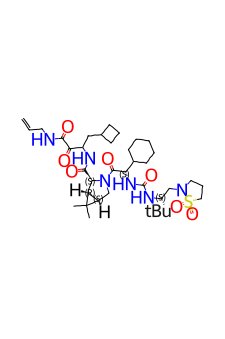 C=CCNC(=O)C(=O)C(CC1CCC1)NC(=O)[C@@H]1[C@@H]2[C@H](CN1C(=O)[C@@H](NC(=O)N[C@H](CN1CCCS1(=O)=O)C(C)(C)C)C1CCCCC1)C2(C)C